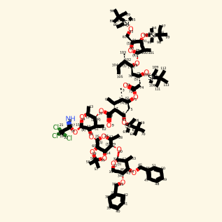 CC[C@H](C)[C@H](C[C@@H](CC(=O)O[C@H]1C(C)O[C@H](OC(=N)C(Cl)(Cl)Cl)C(O[C@@H]2OC(C)[C@H](O[C@@H]3OC[C@@H](OCc4ccccc4)C(OCc4ccccc4)C3C)C3OC(C)(C)OC32)C1C)O[Si](C)(C)C(C)(C)C)OC(=O)C[C@H](C[C@H](O[C@@H]1O[C@@H](CO[Si](C)(C)C(C)(C)C)C(O[Si](C)(C)C(C)(C)C)C1C)[C@@H](C)CC)O[Si](C)(C)C(C)(C)C